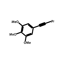 COc1cc(C#CC(C)C)cc(OC)c1OC